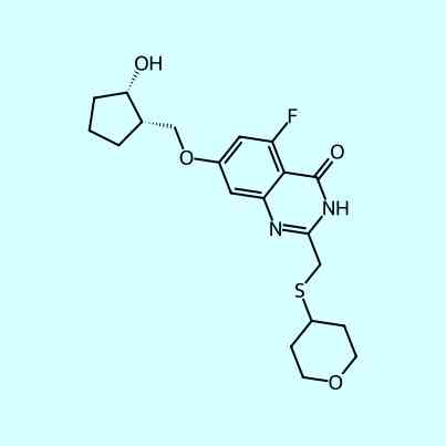 O=c1[nH]c(CSC2CCOCC2)nc2cc(OC[C@@H]3CCC[C@@H]3O)cc(F)c12